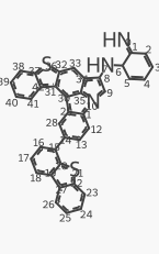 N=C1C=CC=CC1Nc1cn2c3ccc(-c4cccc5c4sc4ccccc45)cc3c3c4c(cc1c32)sc1ccccc14